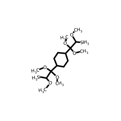 COC([SiH3])C(OC)(OC)C1CCC(C(OC)(OC)C([SiH3])OC)CC1